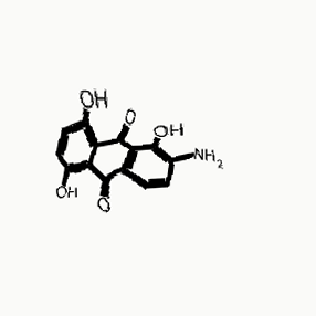 Nc1ccc2c(c1O)C(=O)c1c(O)ccc(O)c1C2=O